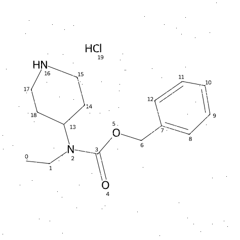 CCN(C(=O)OCc1ccccc1)C1CCNCC1.Cl